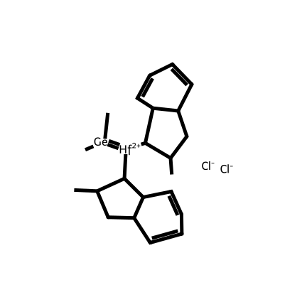 CC1CC2C=CC=CC2[CH]1[Hf+2]([CH]1C(C)CC2C=CC=CC21)=[Ge]([CH3])[CH3].[Cl-].[Cl-]